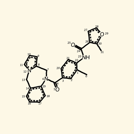 Cc1cc(C(=O)N2Cc3cccn3Cc3ccccc32)ccc1NC(=O)c1ccoc1C